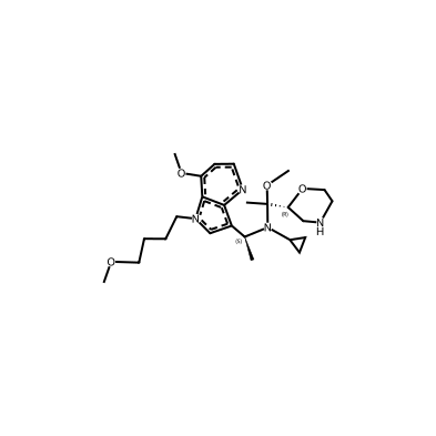 COCCCCn1cc([C@H](C)N(C2CC2)C(C)(OC)[C@H]2CNCCO2)c2nccc(OC)c21